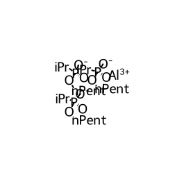 CCCCCOP(=O)([O-])C(C)C.CCCCCOP(=O)([O-])C(C)C.CCCCCOP(=O)([O-])C(C)C.[Al+3]